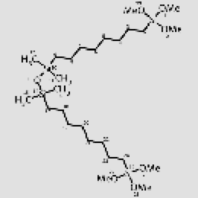 CO[Si](CCCCCCCC[Si](C)(C)O[Si](C)(C)CCCCCCCC[Si](OC)(OC)OC)(OC)OC